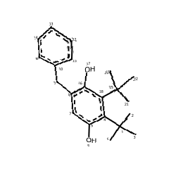 CC(C)(C)c1c(O)cc(Cc2ccccc2)c(O)c1C(C)(C)C